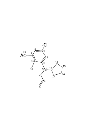 C=CCN(c1cc(Cl)cc(C(C)=O)c1C)C1CCCC1